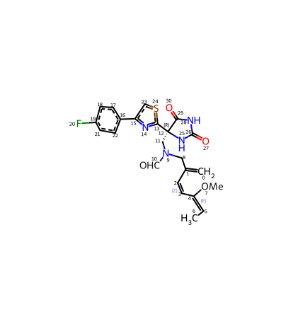 C=C(/C=C\C(=C/C)OC)CN(C=O)C[C@@]1(c2nc(-c3ccc(F)cc3)cs2)NC(=O)NC1=O